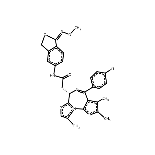 CO/N=C1/OCc2cc(NC(=O)C[C@@H]3N=C(c4ccc(Cl)cc4)c4c(sc(C)c4C)-n4c(C)nnc43)ccc21